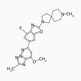 COc1cc(-c2cc(F)c3nc(N4CCC5(CCN(C)CC5)C4)oc3c2)nn2nc(C)nc12